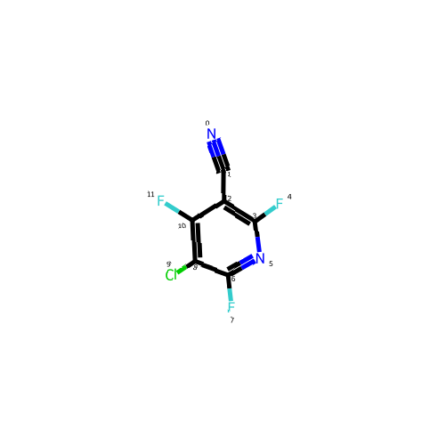 N#Cc1c(F)nc(F)c(Cl)c1F